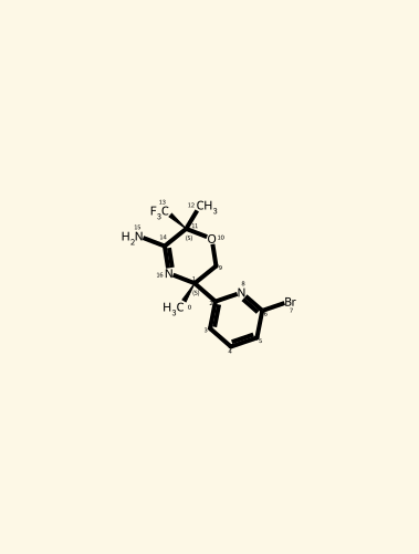 C[C@]1(c2cccc(Br)n2)CO[C@](C)(C(F)(F)F)C(N)=N1